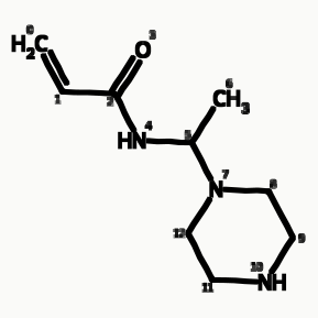 C=CC(=O)NC(C)N1CCNCC1